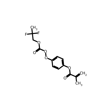 C=C(C)C(=O)Oc1ccc(OOC(=O)OCC(C)(F)F)cc1